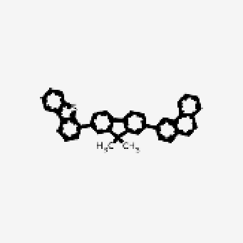 CC1(C)c2cc(-c3ccc4ccc5ccccc5c4c3)ccc2-c2ccc(-c3cccc4c3sc3ccccc34)cc21